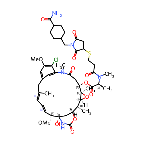 COc1cc2cc(c1Cl)N(C)C(=O)C[C@H](OC(=O)[C@H](C)N(C)C(=O)CCSC1CC(=O)N(CC3CCC(C(N)=O)CC3)C1=O)[C@@]1(C)O[C@H]1[C@H](C)[C@@H]1C[C@@](O)(NC(=O)O1)[C@H](OC)/C=C/C=C(\C)C2